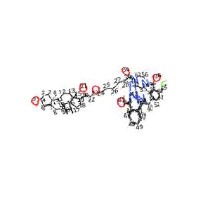 C[C@]12CCC(=O)C=C1CC[C@@H]1C2CC[C@@]2(C)C1CC[C@@H]2C(=O)COCCCCCC(=O)N1CCN(C(=O)c2cc(Cc3n[nH]c(=O)c4ccccc34)ccc2F)CC1